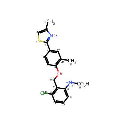 Cc1csc(-c2ccc(OCc3c(Cl)cccc3NC(=O)O)c(C)c2)n1